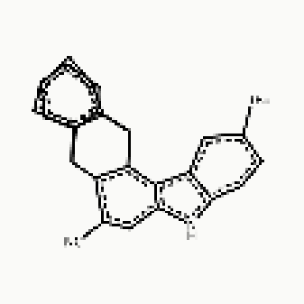 CC(C)(C)c1ccc2[nH]c3cc(C#N)c4c(c3c2c1)C1c2ccccc2C4c2ccccc21